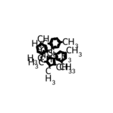 CC1=C(C)[C]([Ti]([CH3])[CH3])([Si](c2cc(C)cc(C)c2)(c2cc(C)ccc2C)c2cc(C)ccc2C)C(C)=C1C